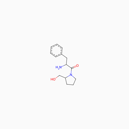 NC(Cc1ccccc1)C(=O)N1CCCC1CO